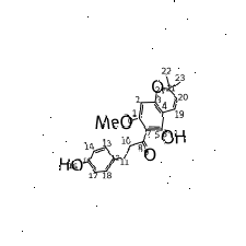 COc1cc2c(c(O)c1C(=O)CCc1ccc(O)cc1)C=CC(C)(C)O2